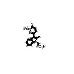 Cc1c(-c2ccc(=O)n(C(C)C)n2)c2ccccc2n1CC(=O)O